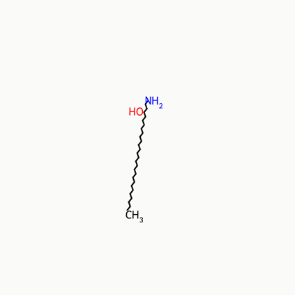 CCCCCCCCCCCCCCCCCCCCCCCCCC(O)CCN